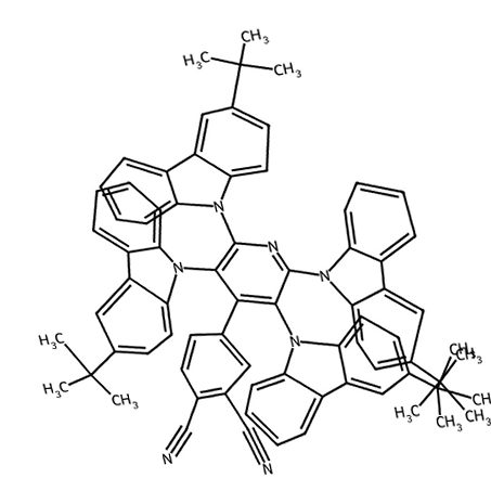 CC(C)(C)c1ccc2c(c1)c1ccccc1n2-c1nc(-n2c3ccccc3c3cc(C(C)(C)C)ccc32)c(-n2c3ccccc3c3cc(C(C)(C)C)ccc32)c(-c2ccc(C#N)c(C#N)c2)c1-n1c2ccccc2c2cc(C(C)(C)C)ccc21